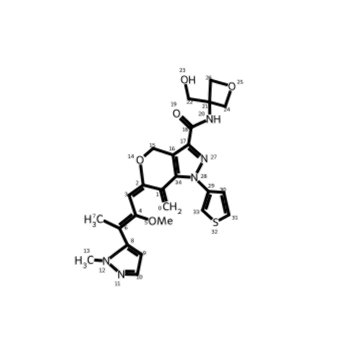 C=C1/C(=C\C(OC)=C(/C)c2ccnn2C)OCc2c(C(=O)NC3(CO)COC3)nn(-c3ccsc3)c21